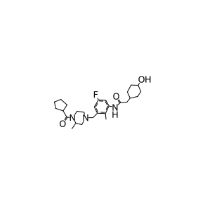 Cc1c(CN2CCN(C(=O)C3CCCC3)C(C)C2)cc(F)cc1NC(=O)CC1CCC(O)CC1